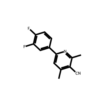 Cc1cc(-c2ccc(F)c(F)c2)nc(C)c1C#N